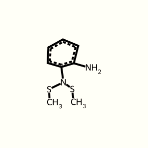 CSN(SC)c1ccccc1N